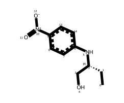 CC[C@H](CO)Nc1ccc([N+](=O)[O-])cc1